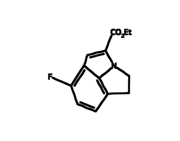 CCOC(=O)c1cc2c(F)ccc3c2n1CC3